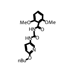 CCCCOc1ccc(NC(=O)NC(=O)c2c(OC)cccc2OC)cn1